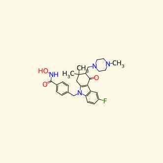 CN1CCN(CC2C(=O)c3c(n(Cc4ccc(C(=O)NO)cc4)c4ccc(F)cc34)CC2(C)C)CC1